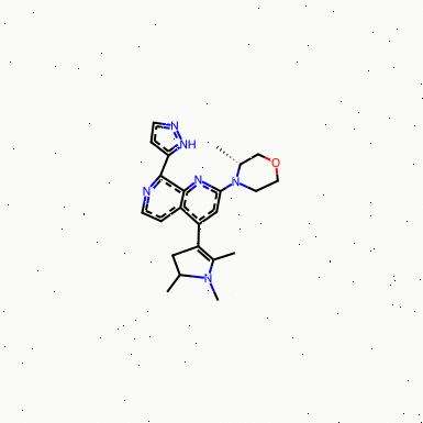 CC1=C(c2cc(N3CCOC[C@H]3C)nc3c(-c4ccn[nH]4)nccc23)CC(C)N1C